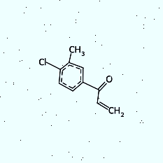 C=CC(=O)c1ccc(Cl)c(C)c1